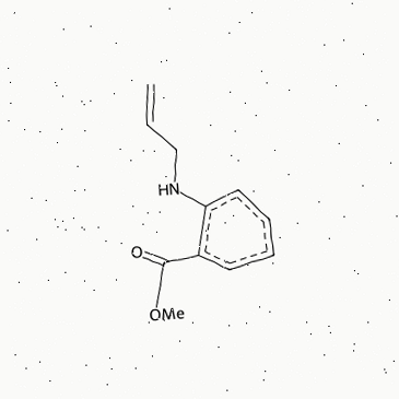 C=CCNc1ccccc1C(=O)OC